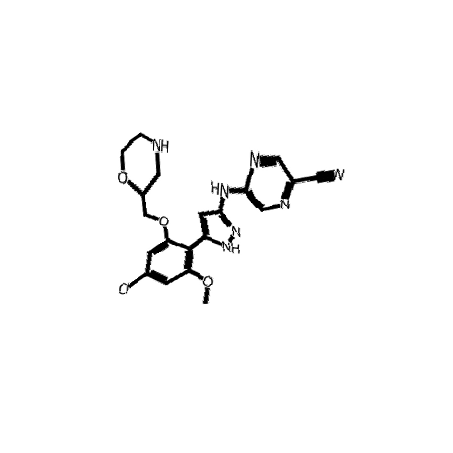 COc1cc(Cl)cc(OCC2CNCCO2)c1-c1cc(Nc2cnc(C#N)cn2)n[nH]1